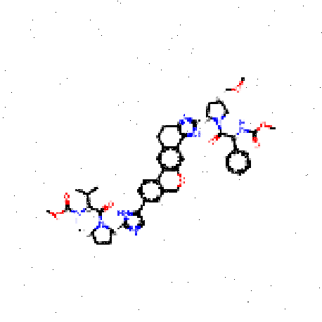 COC[C@H]1C[C@@H](c2nc3c([nH]2)-c2cc4c(cc2CC3)-c2ccc(-c3cnc([C@@H]5CC[C@H](C)N5C(=O)[C@@H](NC(=O)OC)C(C)C)[nH]3)cc2CO4)N(C(=O)[C@H](NC(=O)OC)c2ccccc2)C1